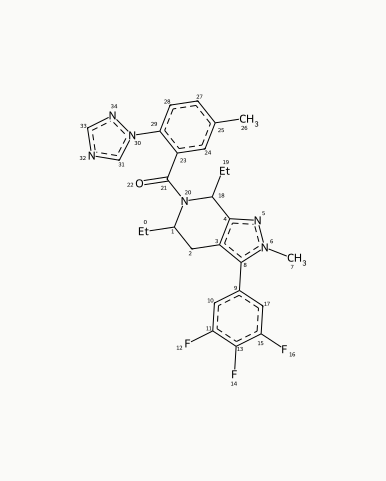 CCC1Cc2c(nn(C)c2-c2cc(F)c(F)c(F)c2)C(CC)N1C(=O)c1cc(C)ccc1-n1cncn1